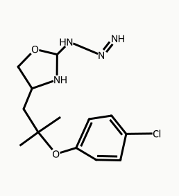 CC(C)(CC1COC(NN=N)N1)Oc1ccc(Cl)cc1